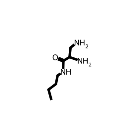 CCCCNC(=O)C(N)CN